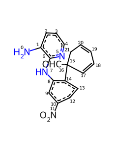 Nc1cccnc1Nc1cc([N+](=O)[O-])ccc1C1(C=O)C=CC=CC1